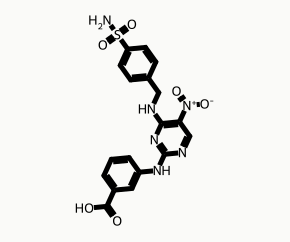 NS(=O)(=O)c1ccc(CNc2nc(Nc3cccc(C(=O)O)c3)ncc2[N+](=O)[O-])cc1